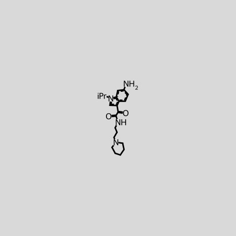 CC(C)n1cc(C(=O)C(=O)NCCCN2CCCCC2)c2ccc(N)cc21